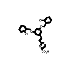 O=C(O)c1csc(C=Cc2cc(OCc3ccccc3Cl)cc(OCc3ccccc3Cl)c2)n1